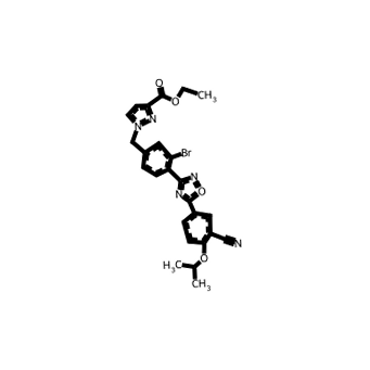 CCOC(=O)c1ccn(Cc2ccc(-c3noc(-c4ccc(OC(C)C)c(C#N)c4)n3)c(Br)c2)n1